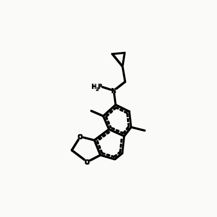 Cc1cc(N(P)CC2CC2)c(C)c2c3c(ccc12)OCO3